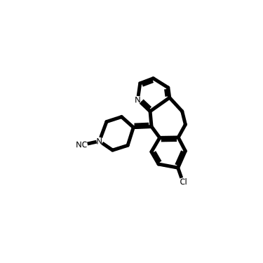 N#CN1CCC(=C2c3ccc(Cl)cc3CCc3cccnc32)CC1